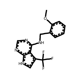 COc1ccccc1CNc1ncnc2[nH]cc(C(F)(F)F)c12